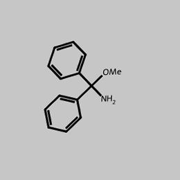 COC(N)(c1ccccc1)c1ccccc1